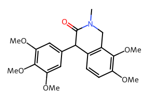 COc1cc(C2C(=O)N(C)Cc3c2ccc(OC)c3OC)cc(OC)c1OC